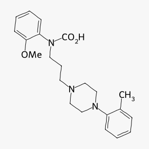 COc1ccccc1N(CCCN1CCN(c2ccccc2C)CC1)C(=O)O